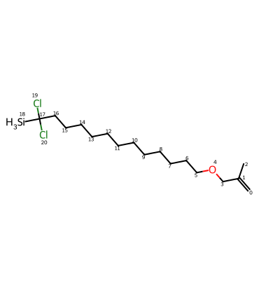 C=C(C)COCCCCCCCCCCCCC([SiH3])(Cl)Cl